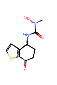 CN(O)C(=O)NC1CCC(=O)c2sccc21